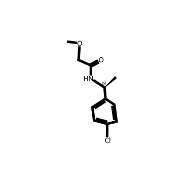 COCC(=O)N[C@@H](C)c1ccc(Cl)cc1